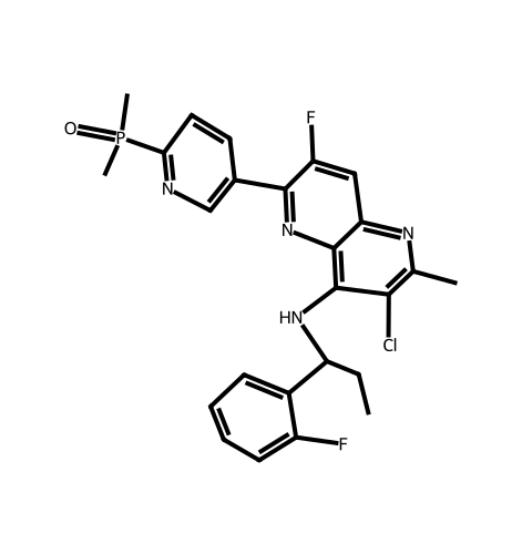 CCC(Nc1c(Cl)c(C)nc2cc(F)c(-c3ccc(P(C)(C)=O)nc3)nc12)c1ccccc1F